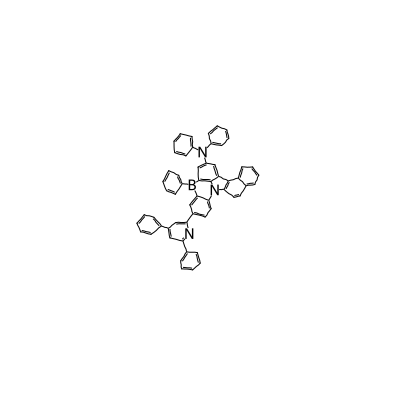 c1ccc(B2c3cc(-c4cc(-c5ccccc5)cc(-c5ccccc5)n4)ccc3-n3c4ccc5ccccc5c4c4cc(N(c5ccccc5)c5ccccc5)cc2c43)cc1